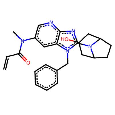 C=CC(=O)N(C)c1cnc2nc(N3C4CCC3CC(O)C4)n(Cc3ccccc3)c2c1